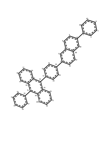 c1ccc(-c2ccc3cc(-c4ccc(-c5c6ccccc6c(-c6ccccc6)c6ncccc56)cc4)ccc3c2)cc1